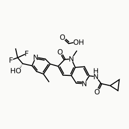 Cc1cc([C@H](O)C(C)(F)F)ncc1-c1cc2cnc(NC(=O)C3CC3)cc2n(C)c1=O.O=CO